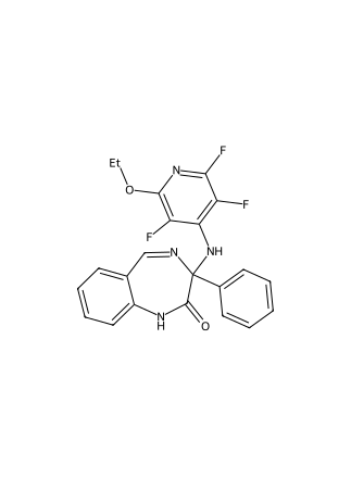 CCOc1nc(F)c(F)c(NC2(c3ccccc3)N=Cc3ccccc3NC2=O)c1F